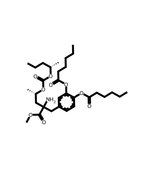 CCCCCC(=O)Oc1ccc(CC(N)(C[C@H](C)OC(=O)O[C@@H](C)CCC)C(=O)OC)cc1OC(=O)CCCCC